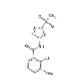 CC(=O)Oc1cccc(C(=O)Nc2ncc(S(C)(=O)=O)s2)c1Cl